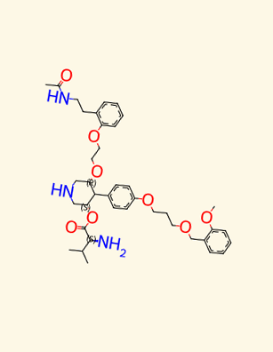 COc1ccccc1COCCCOc1ccc(C2[C@@H](OCCOc3ccccc3CCNC(C)=O)CNC[C@H]2OC(=O)[C@@H](N)C(C)C)cc1